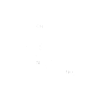 O=[N+]([O-])c1ccc(N=C2C=CC(CO)=CC2)cc1